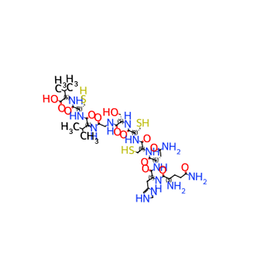 CC(C)[C@H](NC(=O)[C@H](CS)NC(=O)[C@@H](NC(=O)CNC(=O)[C@H](CO)NC(=O)[C@H](CS)NC(=O)[C@H](CS)NC(=O)[C@H](CC(N)=O)NC(=O)[C@H](Cc1c[nH]cn1)NC(=O)[C@@H](N)CCC(N)=O)C(C)C)C(=O)O